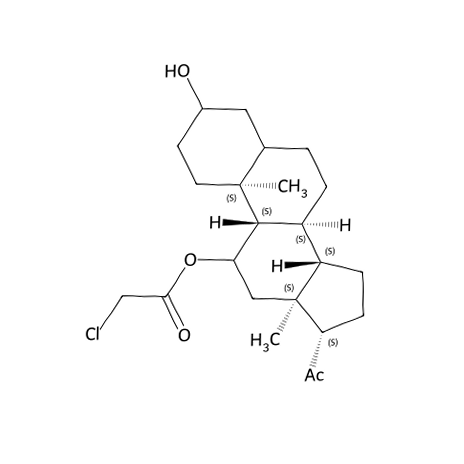 CC(=O)[C@H]1CC[C@H]2[C@@H]3CCC4CC(O)CC[C@]4(C)[C@H]3C(OC(=O)CCl)C[C@]12C